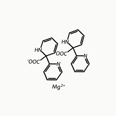 O=C([O-])C1(c2ccccn2)C=CC=CN1.O=C([O-])C1(c2ccccn2)C=CC=CN1.[Mg+2]